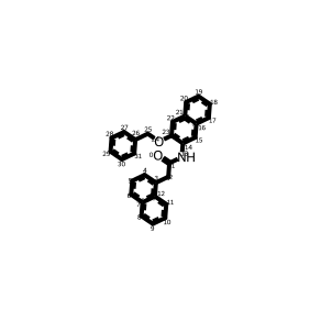 O=C([CH]c1cccc2ccccc12)Nc1cc2ccccc2cc1OCc1ccccc1